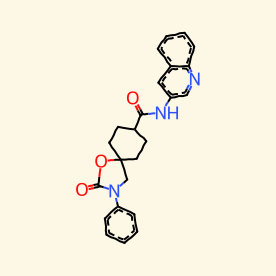 O=C(Nc1cnc2ccccc2c1)C1CCC2(CC1)CN(c1ccccc1)C(=O)O2